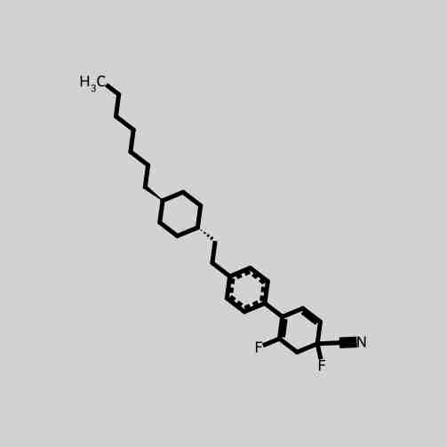 CCCCCCC[C@H]1CC[C@H](CCc2ccc(C3=C(F)CC(F)(C#N)C=C3)cc2)CC1